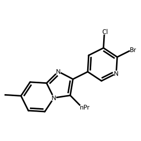 CCCc1c(-c2cnc(Br)c(Cl)c2)nc2cc(C)ccn12